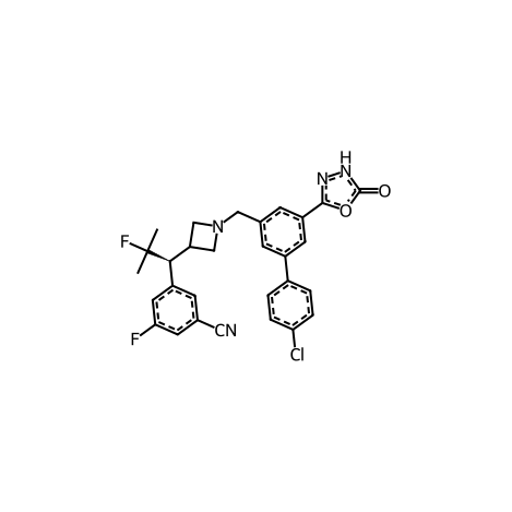 CC(C)(F)[C@H](c1cc(F)cc(C#N)c1)C1CN(Cc2cc(-c3ccc(Cl)cc3)cc(-c3n[nH]c(=O)o3)c2)C1